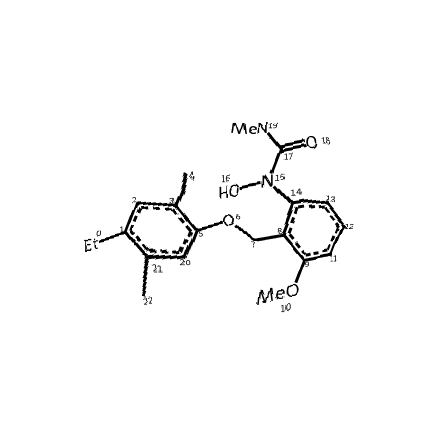 CCc1cc(C)c(OCc2c(OC)cccc2N(O)C(=O)NC)cc1C